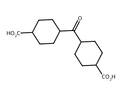 O=C(O)C1CCC(C(=O)C2CCC(C(=O)O)CC2)CC1